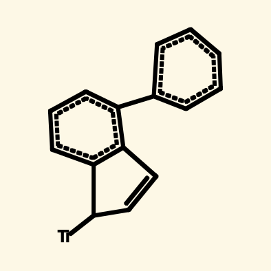 [Ti][CH]1C=Cc2c(-c3ccccc3)cccc21